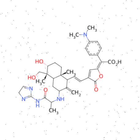 C=C1C(NC(C)C(=O)NC2=NCC=N2)CC2[C@](C)(CC[C@@H](O)[C@@]2(C)CO)C1/C=C/C1=CC(=C(/C(=O)O)c2ccc(N(C)C)cc2)/OC1=O